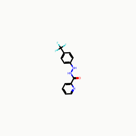 O=C(NNc1ccc(C(F)(F)F)cc1)c1ccccn1